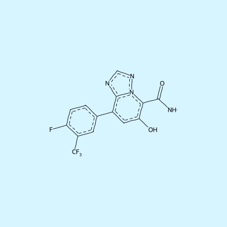 [NH]C(=O)c1c(O)cc(-c2ccc(F)c(C(F)(F)F)c2)c2ncnn12